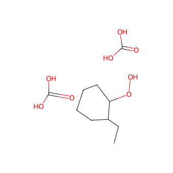 CCC1CCCCC1OO.O=C(O)O.O=C(O)O